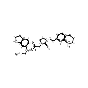 O=C(O)C[C@H](NC(=O)CN1CC[C@H](CCc2ccc3c(n2)NCCC3)C1=O)c1ccc2c(c1)OCC2